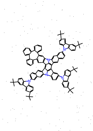 CC(C)(C)c1ccc2c(c1)c1cc(C(C)(C)C)ccc1n2-c1ccc2cc3c4c5c6cc7c(cc6n6c8cc9cc(-n%10c%11ccc(C(C)(C)C)cc%11c%11cc(C(C)(C)C)ccc%11%10)ccc9cc8c(c8c9cc(-n%10c%11ccc(C(C)(C)C)cc%11c%11cc(C(C)(C)C)ccc%11%10)ccc9n(c3cc2c1)c48)c56)-c1ccccc1-c1ccccc1-c1ccccc1-7